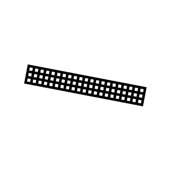 C1C2C3CC4C5C6C7C8C9C%10C%11C%12C%13C%14C%15C%16C%17C%18C%19C%20C%21C%22C%23CC%24C%25CC%26C%27C%28C%29C%30C%31C%32C%33C%34C%35C%36C%37C%38C%39C%40C%41C%42C%43C%44C1C21C34C52C%441C%431C62C72C%421C%411C82C92C%401C%391C%102C%112C%381C%371C%122C%132C%361C%351C%343C%334C%325C%316C%307C%298C%289C%27%10C%25%26C%24%23C%22%10C%219C%208C%197C%186C%175C%164C%153C%1412